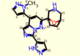 Cn1nccc1-c1cc(C23CCC(CNC2)O3)nn2c(-c3ccn[nH]3)ncc12